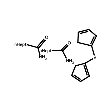 C1=CC[C]([V][C]2=CC=CC2)=C1.CCCCCCCC(N)=O.CCCCCCCC(N)=O